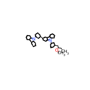 CCC(Cc1cccc(-n2c3ccccc3c3cc(-c4cccc(-n5c6ccccc6c6ccccc65)c4)ccc32)c1)OC